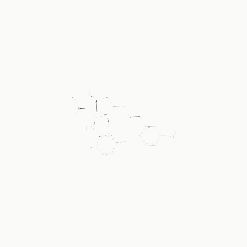 NC(=O)[C@H]1[C@@H]2CC(CNCc3cccc([N+](=O)[O-])c3)[C@@H](C2)[C@H]1Nc1nc(Cl)ncc1F